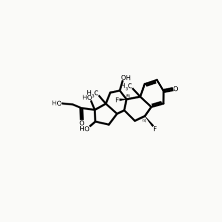 CC12CC(O)[C@@]3(F)C(C[C@H](F)C4=CC(=O)C=CC43C)C1CC(O)C2(O)C(=O)CO